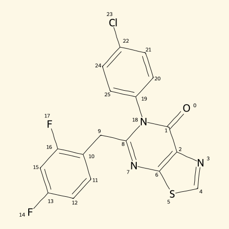 O=c1c2ncsc2nc(Cc2ccc(F)cc2F)n1-c1ccc(Cl)cc1